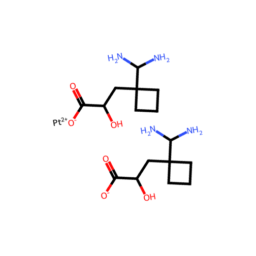 NC(N)C1(CC(O)C(=O)[O-])CCC1.NC(N)C1(CC(O)C(=O)[O-])CCC1.[Pt+2]